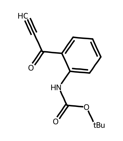 C#CC(=O)c1ccccc1NC(=O)OC(C)(C)C